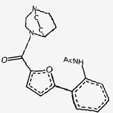 CC(=O)Nc1ccccc1-c1ccc(C(=O)N2CCN3CCC2CC3)o1